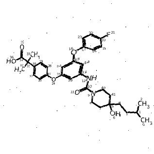 CC(C)CCC1(O)CCN(C(=O)Nc2cc(Oc3ccc(F)cc3)cc(Oc3ccc(C(C)(C)C(=O)O)cc3)c2)CC1